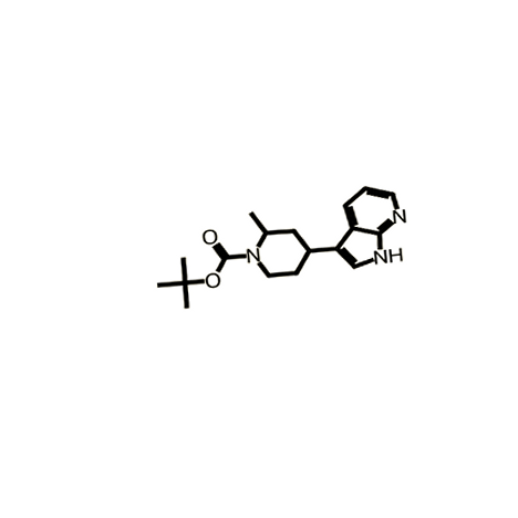 CC1CC(c2c[nH]c3ncccc23)CCN1C(=O)OC(C)(C)C